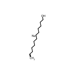 C=CCCCCCCCCCCCO.[Na]